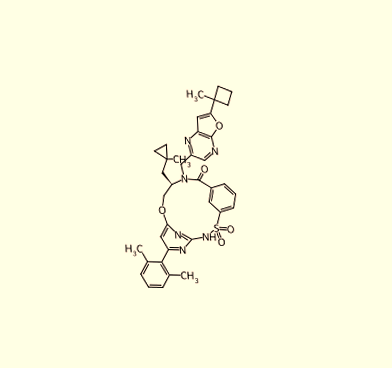 Cc1cccc(C)c1-c1cc2nc(n1)NS(=O)(=O)c1cccc(c1)C(=O)N(Cc1cnc3oc(C4(C)CCC4)cc3n1)[C@H](CC1(C)CC1)CO2